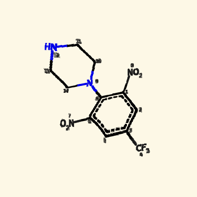 O=[N+]([O-])c1cc(C(F)(F)F)cc([N+](=O)[O-])c1N1CCNCC1